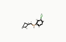 Clc1cccc(SC[C]2CCC2)c1